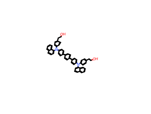 OCCc1ccc(N(c2ccc(-c3ccc(-c4ccc(N(c5ccc(CCO)cc5)c5cccc6ccccc56)cc4)cc3)cc2)c2cccc3ccccc23)cc1